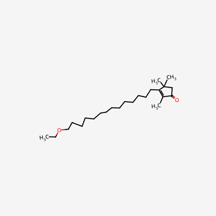 CCOCCCCCCCCCCCCCCC1=C(C)C(=O)CC1(C)C